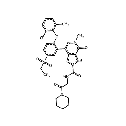 CCS(=O)(=O)c1ccc(Oc2c(C)cccc2Cl)c(-c2cn(C)c(=O)c3[nH]c(C(=O)NCC(=O)N4CCCCC4)cc23)c1